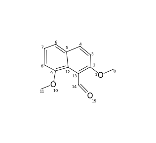 COc1ccc2cccc(OC)c2c1C=O